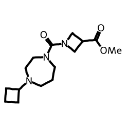 COC(=O)C1CN(C(=O)N2CCCN(C3CCC3)CC2)C1